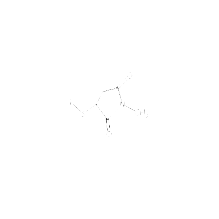 CN1C(=O)CC(SI)C1=O